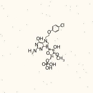 CO[C@H]1[C@@H](O)[C@H](B2CN(CCOc3ccc(Cl)cc3)c3c(O)nc(N)nc32)O[C@@H]1COP(=O)(O)O